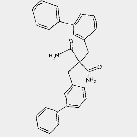 NC(=O)C(Cc1cccc(-c2ccccc2)c1)(Cc1cccc(-c2ccccc2)c1)C(N)=O